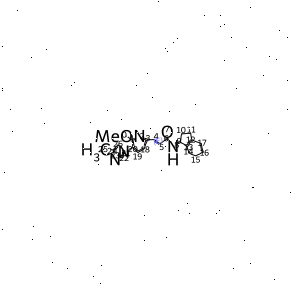 COc1nc(/C=C/C(=O)NC2CCC3=C2CCC=C3)ccc1-n1cnc(C)c1